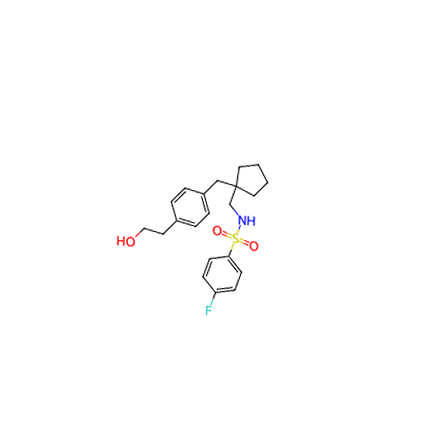 O=S(=O)(NCC1(Cc2ccc(CCO)cc2)CCCC1)c1ccc(F)cc1